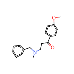 COc1ccc(C(=O)CCN(C)Cc2ccccc2)cc1